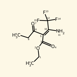 CCOC(=O)/C(C(=O)CC)=C(\N)C(F)(F)F